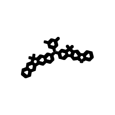 Cc1cc(C)cc(N(c2ccc3c(c2)C(C)(C)c2cc4c(cc2-3)oc2ccccc24)c2ccc3cc4c(cc3c2)C(C)(C)c2cc3ccccc3cc2-4)c1